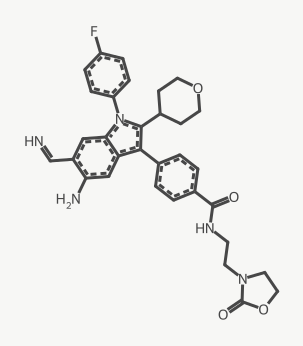 N=Cc1cc2c(cc1N)c(-c1ccc(C(=O)NCCN3CCOC3=O)cc1)c(C1CCOCC1)n2-c1ccc(F)cc1